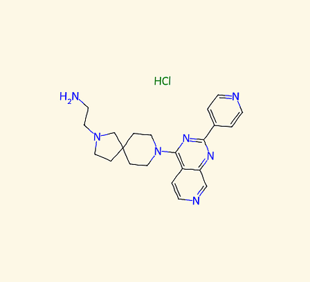 Cl.NCCN1CCC2(CCN(c3nc(-c4ccncc4)nc4cnccc34)CC2)C1